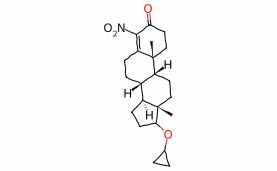 C[C@]12CCC(=O)C([N+](=O)[O-])=C1CC[C@@H]1[C@H]2CC[C@]2(C)C(OC3CC3)CC[C@@H]12